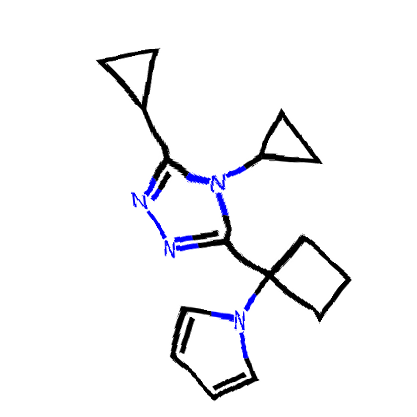 c1ccn(C2(c3nnc(C4CC4)n3C3CC3)CCC2)c1